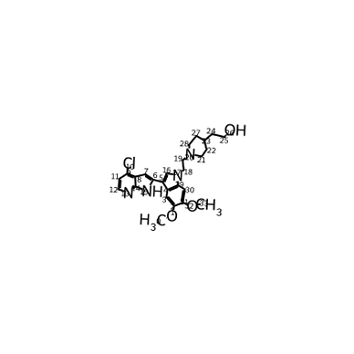 COc1cc2c(-c3cc4c(Cl)ccnc4[nH]3)cn(CCN3CCC(CCO)CC3)c2cc1OC